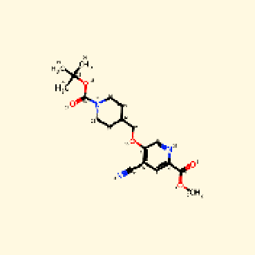 COC(=O)c1cc(C#N)c(OCC2CCN(C(=O)OC(C)(C)C)CC2)cn1